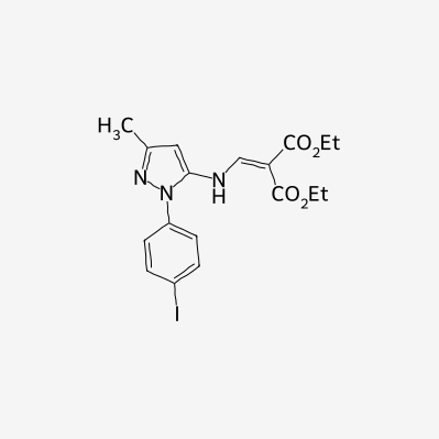 CCOC(=O)C(=CNc1cc(C)nn1-c1ccc(I)cc1)C(=O)OCC